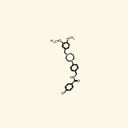 COc1ccc(CN2CCCN(c3ccc(CNC(=O)c4ccc(Cl)cc4)cc3)CC2)cc1OC